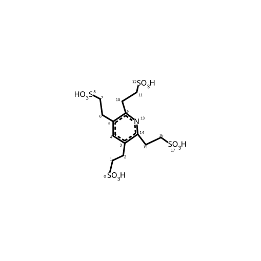 O=S(=O)(O)CCc1cc(CCS(=O)(=O)O)c(CCS(=O)(=O)O)nc1CCS(=O)(=O)O